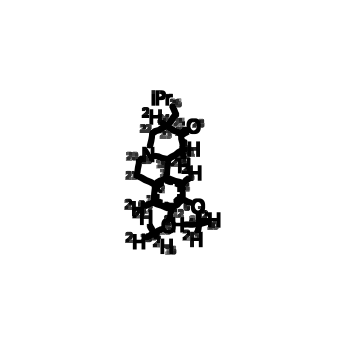 [2H]c1c2c(c([2H])c(OC([2H])([2H])[2H])c1OC([2H])([2H])[2H])C1N(CC2)CC([2H])(CC(C)C)C(=O)C1([2H])[2H]